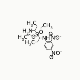 CCO[Si](OCC)(C(N)CC)C(CC)Nc1ccc([N+](=O)[O-])cc1[N+](=O)[O-]